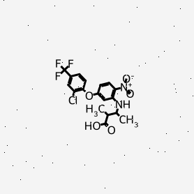 CC(Nc1cc(Oc2ccc(C(F)(F)F)cc2Cl)ccc1[N+](=O)[O-])C(C)C(=O)O